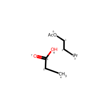 CC(=O)OCCC(C)C.CCC(=O)O